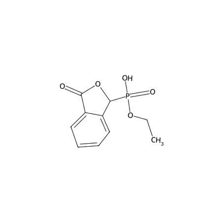 CCOP(=O)(O)C1OC(=O)c2ccccc21